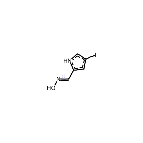 O/N=C/c1cc(I)c[nH]1